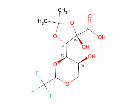 CC1(C)O[C@@H]([C@@H]2OC(C(F)(F)F)OC[C@@H]2O)[C@@](O)(C(=O)O)O1